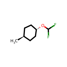 C[C@H]1CC[C@H](OC(F)F)CC1